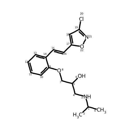 CC(C)NCC(O)COc1ccccc1C=Cc1cc(Cl)no1